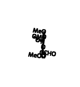 COCCOCCN(CCOCCOC)CCOCCOc1c(C=O)cccc1OC